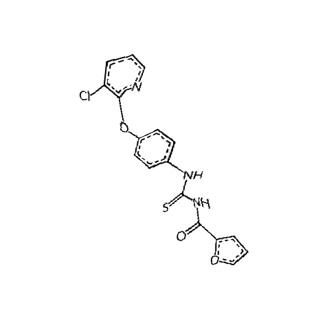 O=C(NC(=S)Nc1ccc(Oc2ncccc2Cl)cc1)c1ccco1